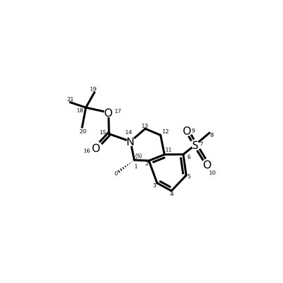 C[C@H]1c2cccc(S(C)(=O)=O)c2CCN1C(=O)OC(C)(C)C